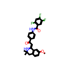 COc1ccc2c(c1)C(=CC(=O)c1ccc(NC(=O)c3cc(F)c(F)cc3F)cc1)NC(C)(C)C2